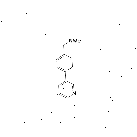 CNCc1ccc(-c2c[c]cnc2)cc1